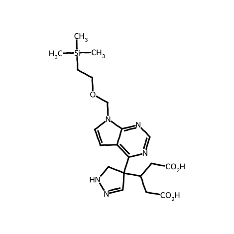 C[Si](C)(C)CCOCn1ccc2c(C3(C(CC(=O)O)CC(=O)O)C=NNC3)ncnc21